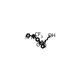 O=C(Nc1ccc(-n2nc(-c3cccnc3)cc2C(F)(F)F)cc1)c1cccnc1NCCCCCO